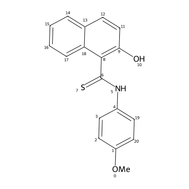 COc1ccc(NC(=S)c2c(O)ccc3ccccc23)cc1